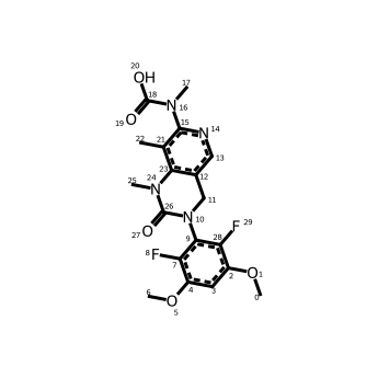 COc1cc(OC)c(F)c(N2Cc3cnc(N(C)C(=O)O)c(C)c3N(C)C2=O)c1F